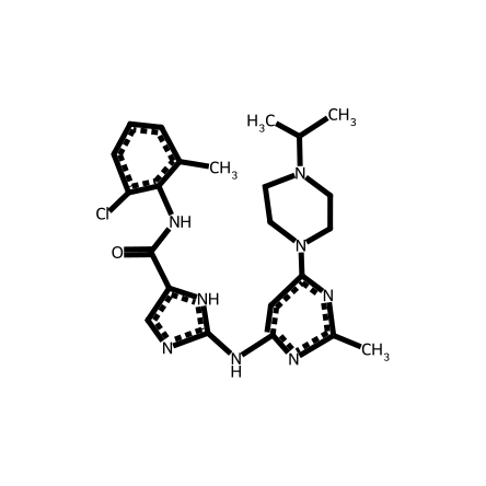 Cc1nc(Nc2ncc(C(=O)Nc3c(C)cccc3Cl)[nH]2)cc(N2CCN(C(C)C)CC2)n1